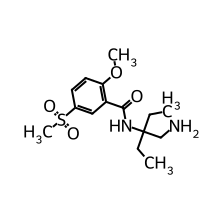 CCC(CC)(CN)NC(=O)c1cc(S(C)(=O)=O)ccc1OC